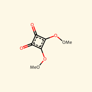 COOc1c(OOC)c(=O)c1=O